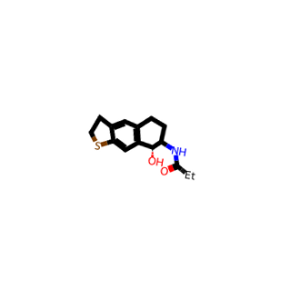 CCC(=O)NC1CCc2cc3c(cc2[C@H]1O)SCC3